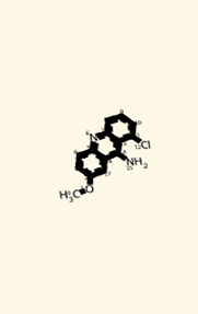 COc1ccc2nc3cccc(Cl)c3c(N)c2c1